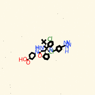 CC(C)(C)C[C@@H]1N[C@@H](C(=O)N[C@H]2CC[C@H](C(=O)O)CC2)[C@H](c2ccccc2Cl)[C@]12CN(Cc1ccc(-c3nnn[nH]3)cc1)c1ccc(Cl)cc12